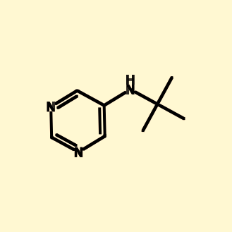 CC(C)(C)Nc1cncnc1